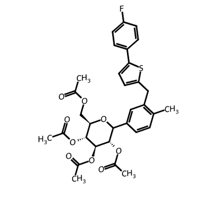 CC(=O)OC[C@H]1OC(c2ccc(C)c(Cc3ccc(-c4ccc(F)cc4)s3)c2)[C@H](OC(C)=O)[C@@H](OC(C)=O)[C@@H]1OC(C)=O